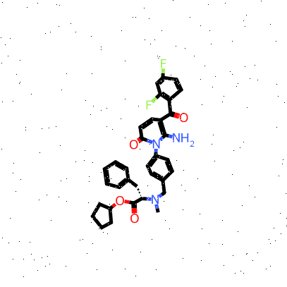 CN(Cc1ccc(-n2c(N)c(C(=O)c3ccc(F)cc3F)ccc2=O)cc1)[C@@H](Cc1ccccc1)C(=O)OC1CCCC1